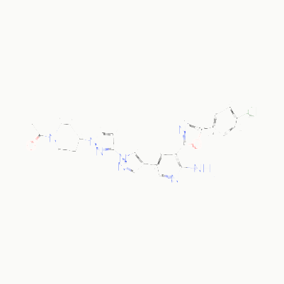 CC(=O)N1CCC(n2ccc(-n3cc(-c4cnc(N)c(-c5ncc(-c6ccc(Cl)cc6)o5)c4)cn3)n2)CC1